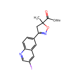 COC(=O)C1(C)CC(c2ccc3ncc(I)cc3c2)=NO1